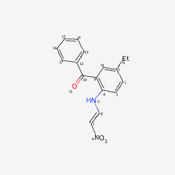 CCc1ccc(N/C=C/[N+](=O)[O-])c(C(=O)c2ccccc2)c1